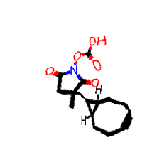 CC1([C@H]2[C@@H]3CCC#CCC[C@@H]32)CC(=O)N(OC(=O)O)C1=O